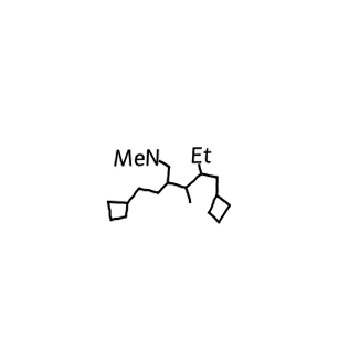 CCC(CC1CCC1)C(C)C(CCC1CCC1)CNC